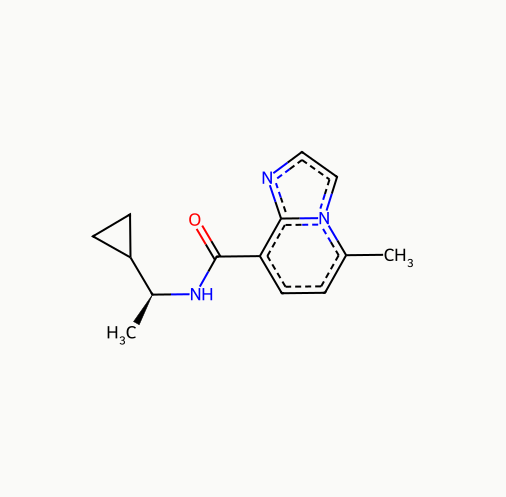 Cc1ccc(C(=O)N[C@@H](C)C2CC2)c2nccn12